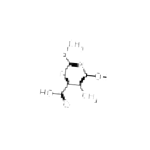 CSc1nc(O)c(C)c(C(=O)O)n1